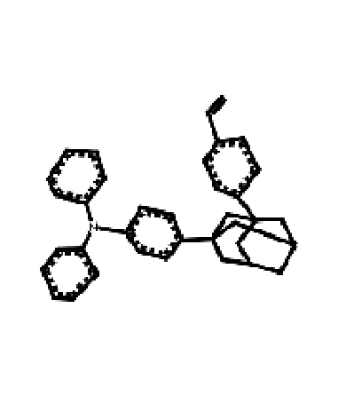 C=Cc1ccc(C23CC4CC(C2)CC(c2ccc(N(c5ccccc5)c5ccccc5)cc2)(C4)C3)cc1